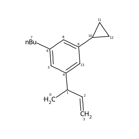 [CH2]C(C=C)c1cc(CCCC)cc(C2CC2)c1